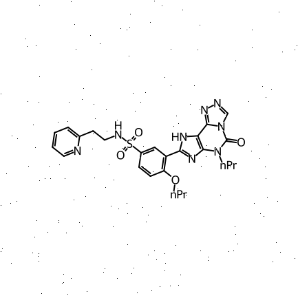 CCCOc1ccc(S(=O)(=O)NCCc2ccccn2)cc1-c1nc2c([nH]1)c1nncn1c(=O)n2CCC